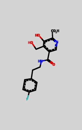 O=C(NCCc1ccc(F)cc1)c1cnc(C(=O)O)c(O)c1CO